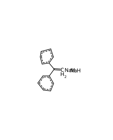 C=C(c1ccccc1)c1ccccc1.[NaH].[NaH]